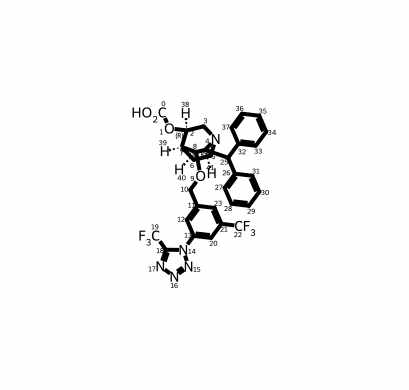 O=C(O)O[C@H]1CN2CC[C@@H]1[C@H](OCc1cc(-n3nnnc3C(F)(F)F)cc(C(F)(F)F)c1)[C@@H]2C(c1ccccc1)c1ccccc1